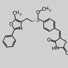 CO[C@@H](CCc1nc(-c2ccccc2)oc1C)c1ccc(C=C2SC(=O)NC2=O)cc1